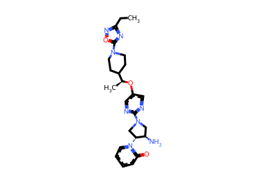 CCc1noc(N2CCC([C@H](C)Oc3cnc(N4C[C@@H](N)[C@H](n5ccccc5=O)C4)nc3)CC2)n1